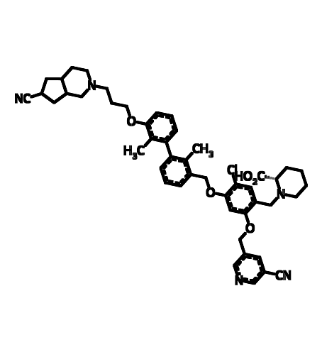 Cc1c(COc2cc(OCc3cncc(C#N)c3)c(CN3CCCC[C@H]3C(=O)O)cc2Cl)cccc1-c1cccc(OCCCN2CCC3CC(C#N)CC3C2)c1C